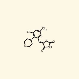 O=C1NC(=O)C(=Cc2cc(C(F)(F)F)cc(Cl)c2N2CCOCC2)S1